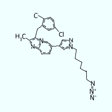 Cc1nc2ccc(-c3cnn(CCCCCCN=[N+]=[N-])c3)cn2c1Cc1cc(Cl)ccc1Cl